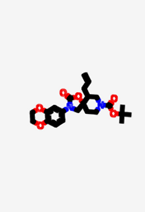 C=CCC1CN(C(=O)OC(C)(C)C)CCC12CN(c1ccc3c(c1)OCCO3)C(=O)O2